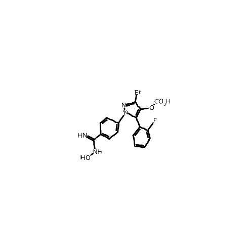 CCc1nn(-c2ccc(C(=N)NO)cc2)c(-c2ccccc2F)c1OC(=O)O